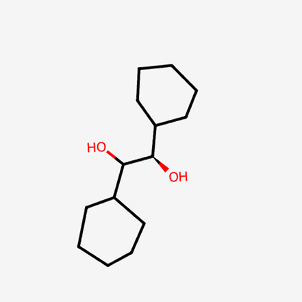 OC(C1CCCCC1)[C@H](O)C1CCCCC1